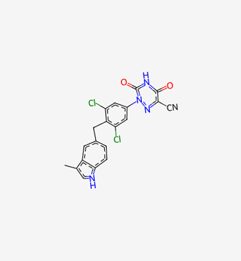 Cc1c[nH]c2ccc(Cc3c(Cl)cc(-n4nc(C#N)c(=O)[nH]c4=O)cc3Cl)cc12